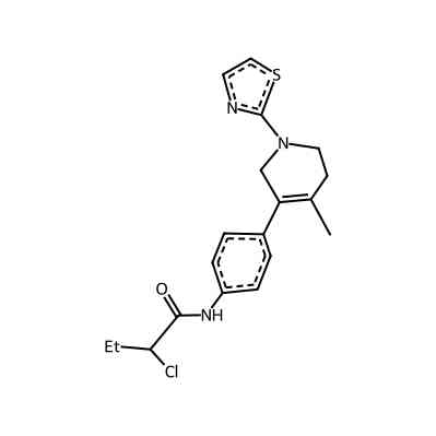 CCC(Cl)C(=O)Nc1ccc(C2=C(C)CCN(c3nccs3)C2)cc1